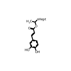 CCCCCCCC(C)OC(=O)/C=C/c1ccc(O)c(O)c1